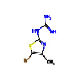 Cc1nc(NC(=N)N)sc1Br